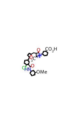 COc1cccc(NC(=O)c2cc(-c3ccc(CC4C(=O)N(c5cccc(C(=O)O)c5)N=C4C(F)(F)F)o3)ccc2Cl)c1